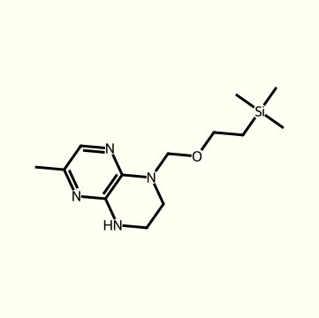 Cc1cnc2c(n1)NCCN2COCC[Si](C)(C)C